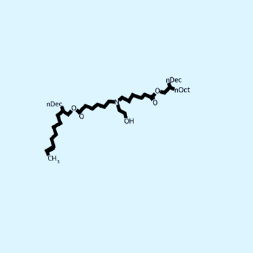 C/C=C/CCCCCC(CCCCCCCCCC)COC(=O)CCCCCN(CCO)CCCCCC(=O)OCC(CCCCCCCC)CCCCCCCCCC